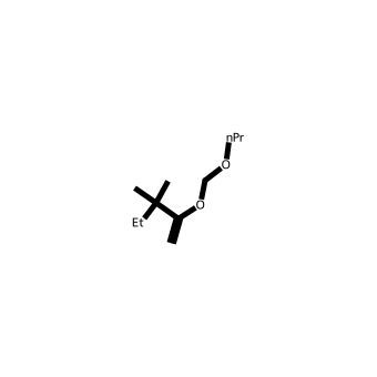 C=C(OCOCCC)C(C)(C)CC